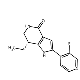 CC[C@@H]1CNC(=O)c2cc(-c3ccncc3F)[nH]c21